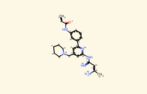 C=CC(=O)Nc1cccc(-c2cc(CN3CCCCC3)cc(NC(=N)/C=C(/C)N)n2)c1